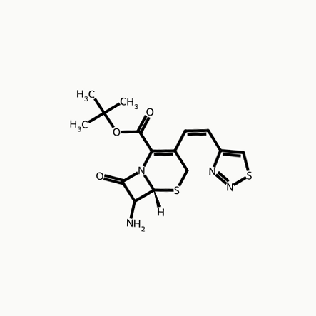 CC(C)(C)OC(=O)C1=C(/C=C\c2csnn2)CS[C@@H]2C(N)C(=O)N12